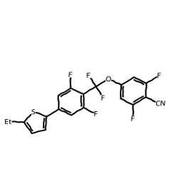 CCc1ccc(-c2cc(F)c(C(F)(F)Oc3cc(F)c(C#N)c(F)c3)c(F)c2)s1